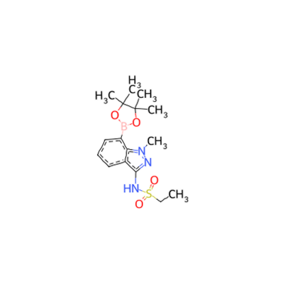 CCS(=O)(=O)Nc1nn(C)c2c(B3OC(C)(C)C(C)(C)O3)cccc12